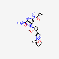 COc1c(Nc2cc(NC(=O)C3CC3)nnc2C(N)=O)cccc1-c1cnn([C@H]2CC[C@]23CCCCO3)c1